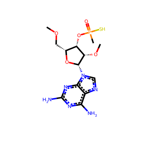 COC[C@H]1O[C@@H](n2cnc3c(N)nc(N)nc32)[C@@H](OC)[C@H]1OP(C)(=O)S